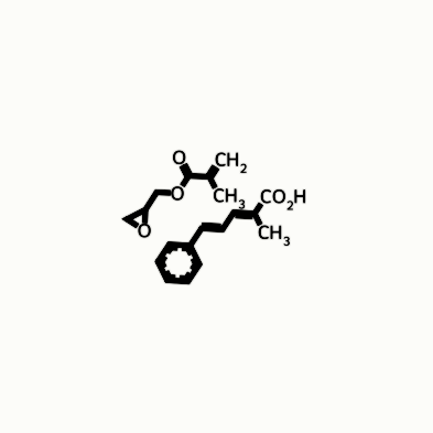 C=C(C)C(=O)OCC1CO1.CC(=CC=Cc1ccccc1)C(=O)O